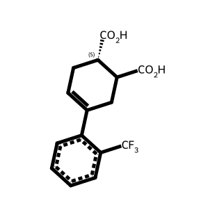 O=C(O)C1CC(c2ccccc2C(F)(F)F)=CC[C@@H]1C(=O)O